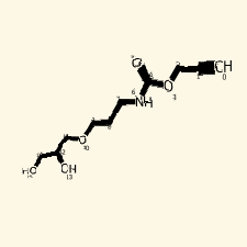 C#CCOC(=O)NCCCOCC(O)CO